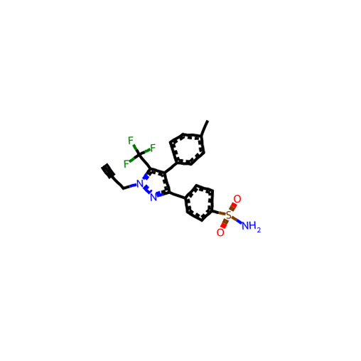 C#CCn1nc(-c2ccc(S(N)(=O)=O)cc2)c(-c2ccc(C)cc2)c1C(F)(F)F